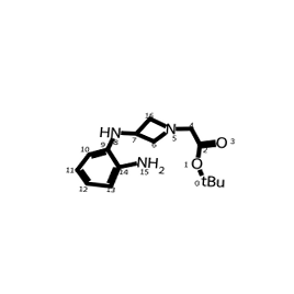 CC(C)(C)OC(=O)CN1CC(Nc2ccccc2N)C1